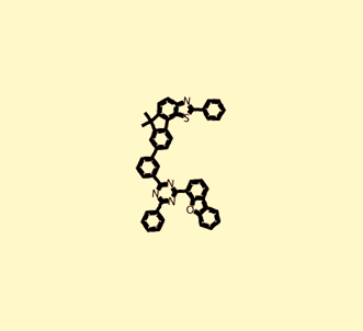 CC1(C)c2cc(-c3cccc(-c4nc(-c5ccccc5)nc(-c5cccc6c5oc5ccccc56)n4)c3)ccc2-c2c1ccc1nc(-c3ccccc3)sc21